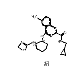 Cc1ccc2nc(C(=O)NCC3CC3)nc(N[C@H]3CCCC[C@H]3NC3=NCCC3)c2c1.Cl.Cl